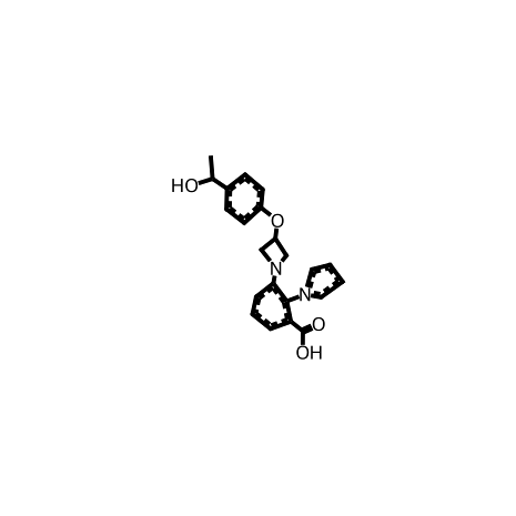 CC(O)c1ccc(OC2CN(c3cccc(C(=O)O)c3-n3cccc3)C2)cc1